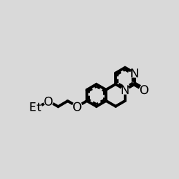 CCOCCOc1ccc2c(c1)CCn1c-2ccnc1=O